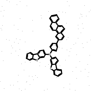 c1ccc2c(c1)ccc1c3cc(-c4ccc(N(c5ccc6c(c5)sc5ccccc56)c5ccc6c(c5)sc5ccccc56)cc4)ccc3ccc21